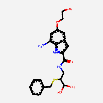 Nc1cc(OCCO)cc2cc(C(=O)NCC(SCc3ccccc3)C(O)O)[nH]c12